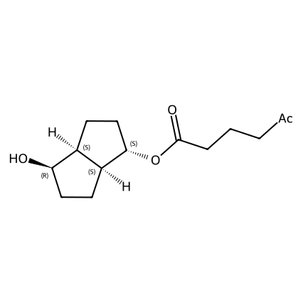 CC(=O)CCCC(=O)O[C@H]1CC[C@H]2[C@@H]1CC[C@H]2O